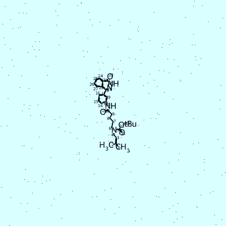 CC(C)=CCN(CCCCC(=O)Nc1cccc(-c2n[nH]c(=O)c3ccccc23)c1)C(=O)OC(C)(C)C